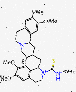 CCCCCCNC(=S)N1CCc2cc(OC)c(OC)cc2C1CC1CC2c3cc(OC)c(OC)cc3CCN2CC1CC